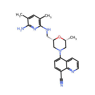 Cc1cc(C)c(NC[C@H]2CN(c3ccc(C#N)c4ncccc34)C[C@@H](C)O2)nc1N